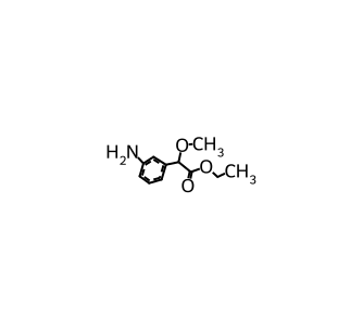 CCOC(=O)C(OC)c1cccc(N)c1